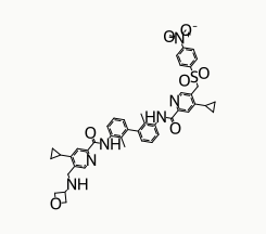 Cc1c(NC(=O)c2cc(C3CC3)c(CNC3COC3)cn2)cccc1-c1cccc(NC(=O)c2cc(C3CC3)c(CS(=O)(=O)c3ccc([N+](=O)[O-])cc3)cn2)c1C